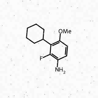 COc1ccc(N)c(F)c1C1CCCCC1